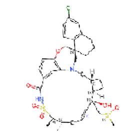 C[C@@H]1[C@@H](C)C/C=C/[C@@](O)(C[S@+](C)[O-])[C@@H]2CC[C@H]2CN2C[C@@]3(CCCc4cc(Cl)ccc43)COc3ccc(cc32)C(=O)NS1(=O)=O